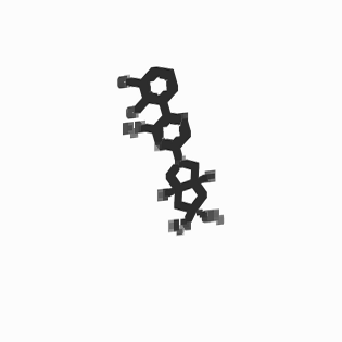 C[C@@]1(N)C[C@H]2CN(c3cnc(-c4cccc(Cl)c4Cl)c(N)n3)C[C@H]2C1